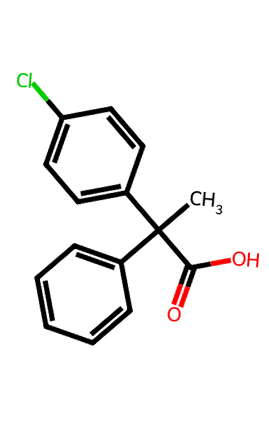 CC(C(=O)O)(c1ccccc1)c1ccc(Cl)cc1